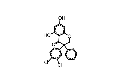 O=C1c2c(O)cc(O)cc2OCC1(c1ccccc1)c1ccc(Cl)c(Cl)c1